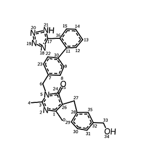 Cc1nc(C)n(Cc2ccc(-c3ccccc3-c3nnn[nH]3)cc2)c(=O)c1Cc1cccc(CO)c1